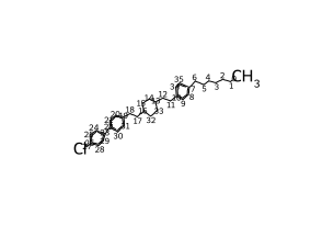 CCCCCCCc1ccc(CCC2CCC(CCc3ccc(-c4ccc(Cl)cc4)cc3)CC2)cc1